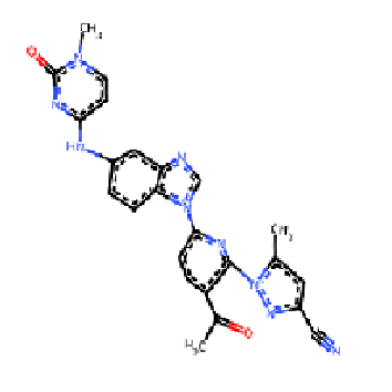 CC(=O)c1ccc(-n2cnc3cc(Nc4ccn(C)c(=O)n4)ccc32)nc1-n1nc(C#N)cc1C